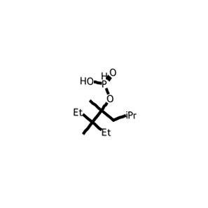 CCC(C)(CC)C(C)(CC(C)C)O[PH](=O)O